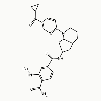 CC[C@@H](C)Nc1cc(C(=O)NC2CC3CCCN(c4ccc(C(=O)C5CC5)cn4)C3C2)ccc1C(N)=O